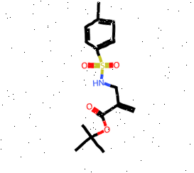 C=C(CNS(=O)(=O)c1ccc(C)cc1)C(=O)OC(C)(C)C